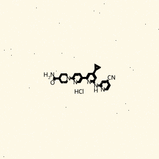 Cl.N#Cc1ccnc(Nc2cc(C3CC3)cc(-c3ccc(N4CCC(C(N)=O)CC4)nc3)n2)c1